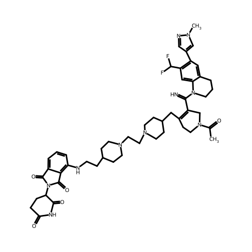 CC(=O)N1CCC(CC2CCN(CCN3CCC(CCNc4cccc5c4C(=O)N(C4CCC(=O)NC4=O)C5=O)CC3)CC2)=C(C(=N)N2CCCc3cc(-c4cnn(C)c4)c(C(F)F)cc32)C1